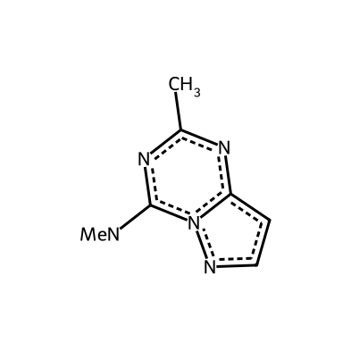 CNc1nc(C)nc2ccnn12